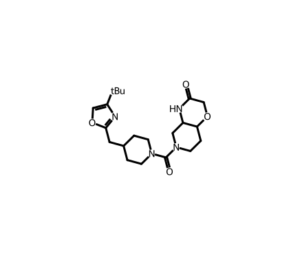 CC(C)(C)c1coc(CC2CCN(C(=O)N3CCC4OCC(=O)NC4C3)CC2)n1